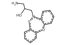 NCC(O)Cn1sc2ccccc2oc2ccccc21